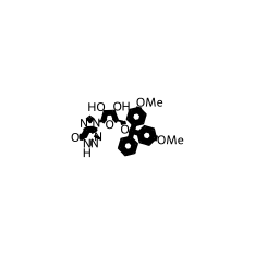 COc1ccc(C(OC[C@H]2O[C@@H](n3cnc4c(=O)[nH]nnc43)[C@H](O)[C@@H]2O)(c2ccccc2)c2ccc(OC)cc2)cc1